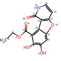 CCOC(=O)c1c(O)c(O)cc2oc3cc[nH]c(=O)c3c12